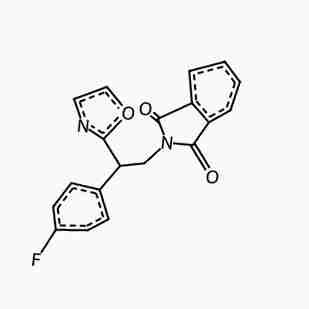 O=C1c2ccccc2C(=O)N1CC(c1ccc(F)cc1)c1ncco1